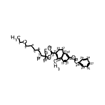 CCOCCCC[C@@H](F)C(F)(F)OC(=O)C1=C(C)c2ccc(OCc3ccccc3)cc2CC1